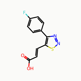 O=C(O)C=Cc1snnc1-c1ccc(F)cc1